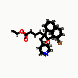 CCOC(=O)CCCC1(Cc2ccncc2)C(=O)c2c(Br)ccc3cccc1c23